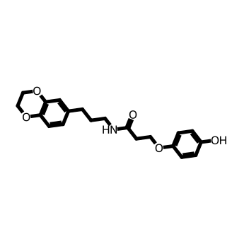 O=C(CCOc1ccc(O)cc1)NCCCc1ccc2c(c1)OCCO2